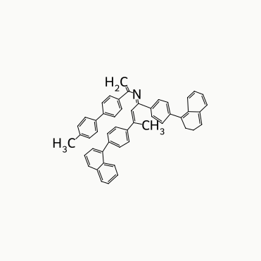 C=C(/N=C(\C=C(/C)c1ccc(-c2cccc3ccccc23)cc1)c1ccc(C2=c3ccccc3=CCC2)cc1)c1ccc(-c2ccc(C)cc2)cc1